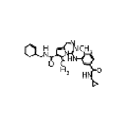 Cc1ccc(C(=O)NC2CC2)cc1Nc1nncc2cc(C(=O)NCC3C=CCCC3)c(C)n12